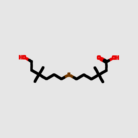 CC(C)(CCO)CCCSCCCC(C)(C)CC(=O)O